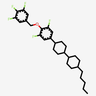 CCCCCC1CCC(C2CCC(c3cc(F)c(OCc4cc(F)c(F)c(F)c4)c(F)c3)CC2)CC1